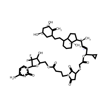 C=C1C(CCC2CCC[C@@]3(C)C2CCC3[C@@H](C)/C=C/C(OC(=O)CSC2CC(=O)N(CCCC(=O)OCC3OC(n4ccc(N)nc4=O)C(F)(F)C3O)C2=O)C2CC2)C[C@@H](O)C[C@@H]1O